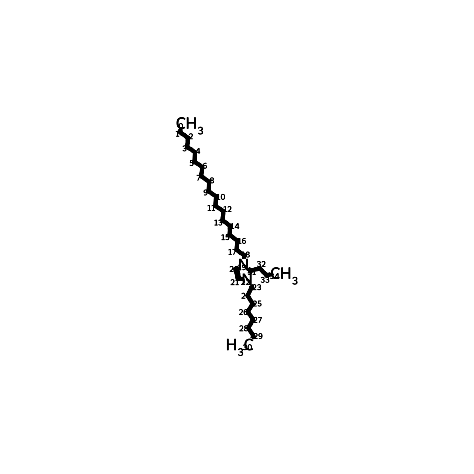 CCCCCCCCCCCCCCCCCCCN1C=CN(CCCCCCCC)C1CCC